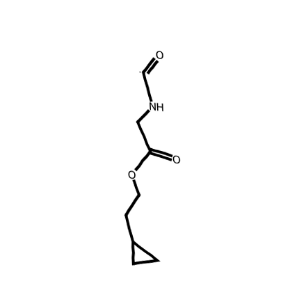 O=[C]NCC(=O)OCCC1CC1